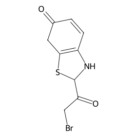 O=C1C=CC2=C(C1)SC(C(=O)CBr)N2